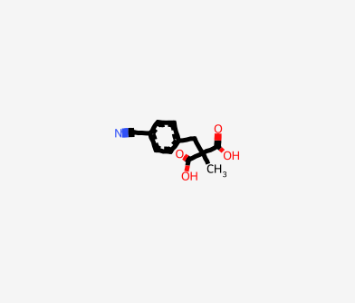 CC(Cc1ccc(C#N)cc1)(C(=O)O)C(=O)O